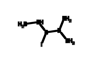 BBB(I)B(B)B